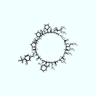 CC[C@H](C)[C@@H]1NC(=O)CSC[C@@H](C(=O)N(C)C)N(C)C(=O)C(C2CCCC2)N(C)C(=O)C2(CCCC2)NC(=O)[C@@H]2CCCN2C(=O)[C@H](CCc2ccc(C(F)(F)F)c(Cl)c2)NC(=O)CN(C)C(=O)[C@H](CC2CCCCC2)N(C)C(=O)CN(C)C(=O)CN(C)C1=O